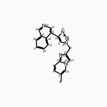 Cc1ccc2nc(Cn3cc(-c4cncc5ccccc45)nn3)cn2c1